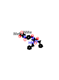 CNC(=O)[C@H]1CN(C(=O)c2ccc(C(=O)N3C[C@@H](C(=O)N[C@H]4C[C@@H]4c4ccccc4)[C@H](C(=O)N[C@H]4C[C@@H]4c4ccccc4)C3)cc2)C[C@@H]1C(=O)NC